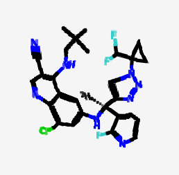 [2H][C@](Nc1cc(Cl)c2ncc(C#N)c(NCC(C)(C)C)c2c1)(c1cn(C2(C(F)F)CC2)nn1)c1cccnc1F